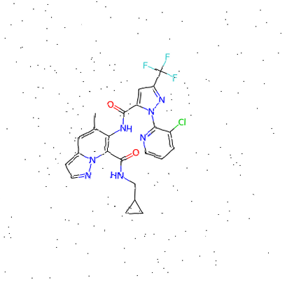 Cc1cc2ccnn2c(C(=O)NCC2CC2)c1NC(=O)c1cc(C(F)(F)F)nn1-c1ncccc1Cl